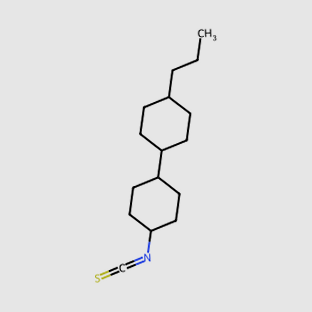 CCCC1CCC(C2CCC(N=C=S)CC2)CC1